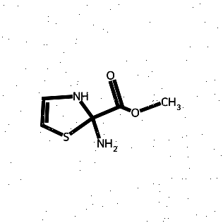 COC(=O)C1(N)NC=CS1